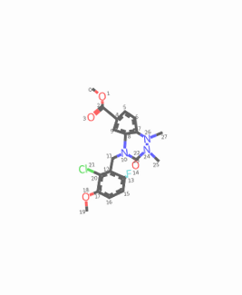 COC(=O)c1ccc2c(c1)N(Cc1c(F)ccc(OC)c1Cl)C(=O)N(C)N2C